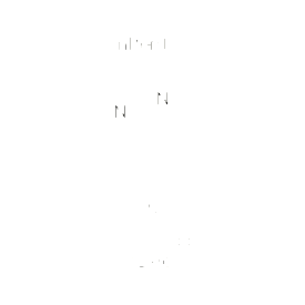 CCCCCCCCCCOc1cc2sc(-c3ncc(CCCCC)cn3)cc2s1